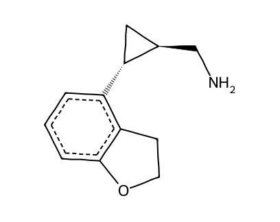 NC[C@@H]1C[C@H]1c1cccc2c1CCO2